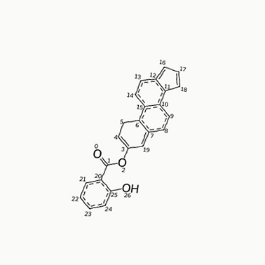 O=C(OC1=CCc2c(ccc3c4c(ccc23)=CC=C4)=C1)c1ccccc1O